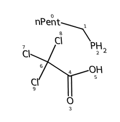 CCCCCCP.O=C(O)C(Cl)(Cl)Cl